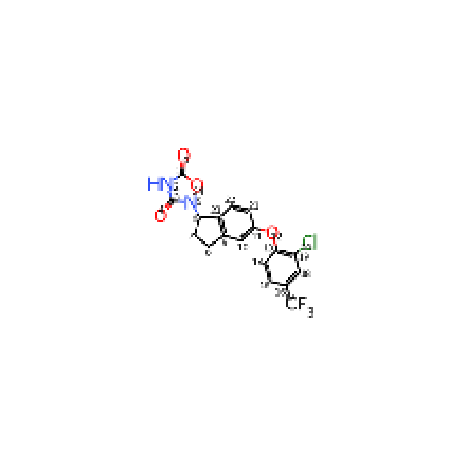 O=c1[nH]c(=O)n(C2CCc3cc(Oc4ccc(C(F)(F)F)cc4Cl)ccc32)o1